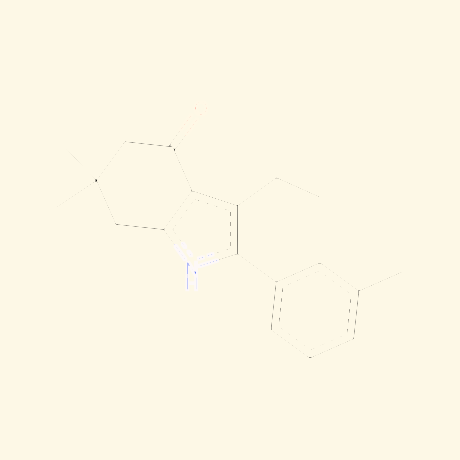 CCc1c(-c2cccc(C)c2)[nH]c2c1C(=O)CC(C)(C)C2